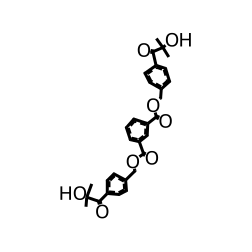 CC(C)(O)C(=O)c1ccc(COC(=O)c2cccc(C(=O)OCc3ccc(C(=O)C(C)(C)O)cc3)c2)cc1